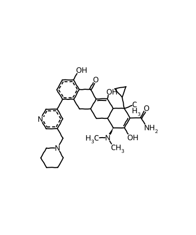 CN(C)[C@@H]1C(O)=C(C(N)=O)C(C)(C2CC2)C2C(O)=C3C(=O)c4c(O)ccc(-c5cncc(CN6CCCCC6)c5)c4CC3CC21